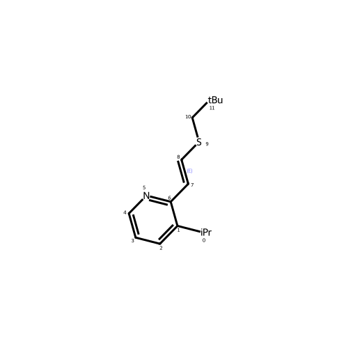 CC(C)c1cccnc1/C=C/SCC(C)(C)C